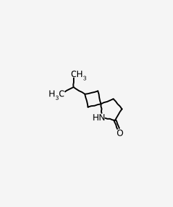 CC(C)C1CC2(CCC(=O)N2)C1